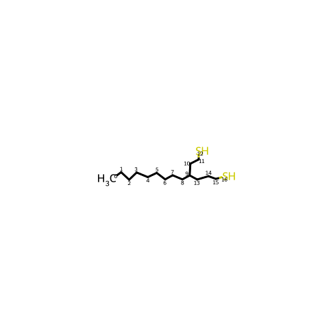 CCCCCCCCCC(CCS)CCCS